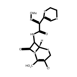 CON=C(C(=O)NC1C(=O)N2C(C(=O)O)=C(Cl)CS[C@@H]12)C1=CSCCS1